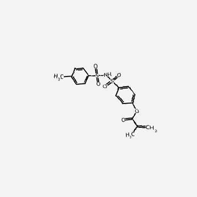 C=C(C)C(=O)Oc1ccc(S(=O)(=O)NS(=O)(=O)c2ccc(C)cc2)cc1